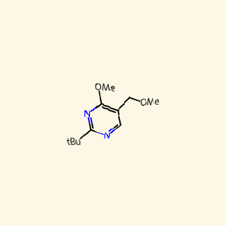 COCc1cnc(C(C)(C)C)nc1OC